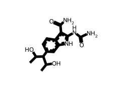 CC(O)C(c1ccc2c(C(N)=O)c(NC(N)=O)[nH]c2c1)C(C)O